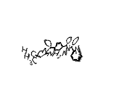 CC1(C)Cc2nc3cc(C(=O)N(N)C(=O)c4ccccn4)ccc3c(=O)n2C1